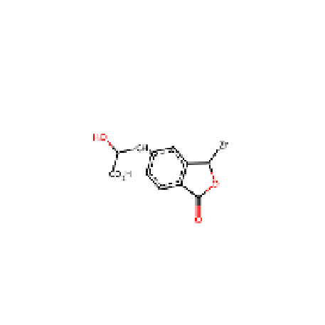 CC(O)C(=O)O.O=C1O[CH]([Zr])c2ccccc21